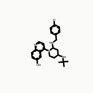 CC(C)(C)NC1CCN(c2ccnc3ccc(O)cc23)C(NCc2ccc(Cl)cc2)C1